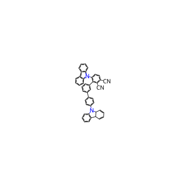 N#Cc1ccc(-n2c3ccccc3c3ccccc32)c(-c2cccc(-c3ccc(N4c5ccccc5C5C=CC=CC54)cc3)c2)c1C#N